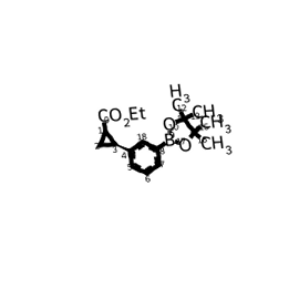 CCOC(=O)C1C[C@@H]1c1cccc(B2OC(C)(C)C(C)(C)O2)c1